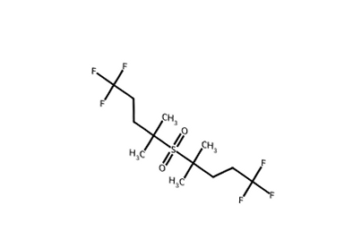 CC(C)(CCC(F)(F)F)S(=O)(=O)C(C)(C)CCC(F)(F)F